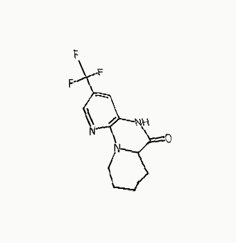 O=C1Nc2cc(C(F)(F)F)cnc2N2CCCCC12